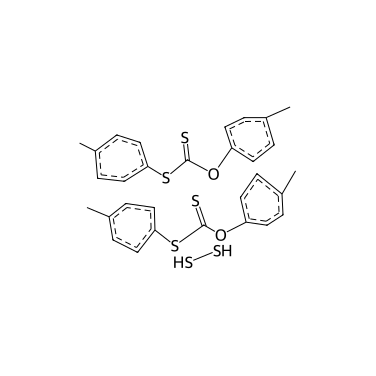 Cc1ccc(OC(=S)Sc2ccc(C)cc2)cc1.Cc1ccc(OC(=S)Sc2ccc(C)cc2)cc1.SS